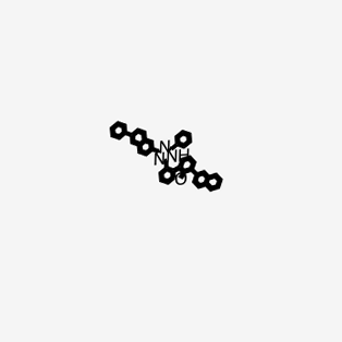 c1ccc(C2=NC(c3ccc4cc(-c5ccccc5)ccc4c3)=NC(c3cccc4oc5c(-c6ccc7ccccc7c6)cccc5c34)N2)cc1